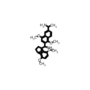 COc1ccc(OC)c2c1C1CCC2(C(N)c2cc(OC)c3cc(C(C)N)ccc3c2OC)C1